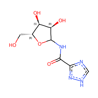 O=C(NC1O[C@H](CO)[C@@H](O)[C@H]1O)c1nc[nH]n1